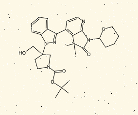 CC(C)(C)OC(=O)N1CCC(CO)(n2nc(-c3ccnc4c3C(C)(C)C(=O)N4C3CCCCO3)c3ccccc32)C1